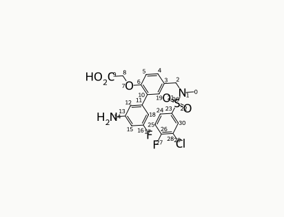 CN(Cc1ccc(OCC(=O)O)c(-c2cc(N)cc(F)c2)c1)S(=O)(=O)c1ccc(F)c(Cl)c1